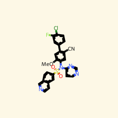 COc1cc(-c2ccc(Cl)c(F)c2)c(C#N)cc1N(c1ccncn1)S(=O)(=O)c1ccc2cnccc2c1